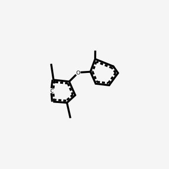 Cc1ccc(C)c(Oc2ccccc2C)c1